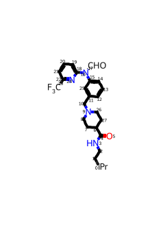 CC(C)CCNC(=O)C1CCN(Cc2cccc(N(C=O)c3cccc(C(F)(F)F)n3)c2)CC1